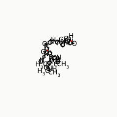 Cc1cc(F)c(Nc2nc(-c3ccc4c(c3)N(C3CC(N5CCCCC5)C3)C(=O)C43CCN(C(=O)C4CCN(CC5CCN(c6cccc7c6n(C)c(=O)n7[C@@H]6CCC(=O)NC6=O)CC5)CC4)CC3)cc3ncn(C(C)C)c23)cc1C(=O)NC(C)C